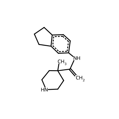 C=C(Nc1ccc2c(c1)CCC2)C1(C)CCNCC1